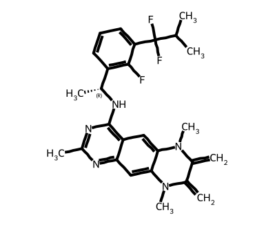 C=C1C(=C)N(C)c2cc3c(N[C@H](C)c4cccc(C(F)(F)C(C)C)c4F)nc(C)nc3cc2N1C